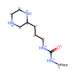 CCCCCCNC(=O)NCCCC1CNCCN1